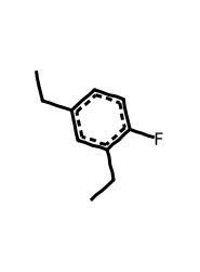 CCc1ccc(F)c(CC)c1